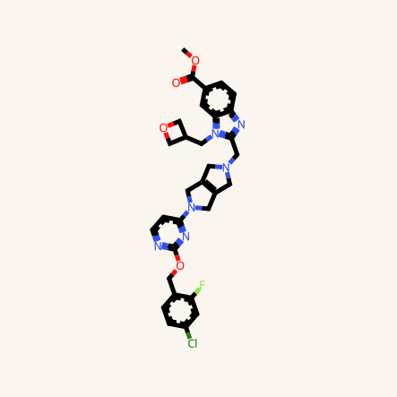 COC(=O)c1ccc2nc(CN3CC4=C(C3)CN(c3ccnc(OCc5ccc(Cl)cc5F)n3)C4)n(CC3COC3)c2c1